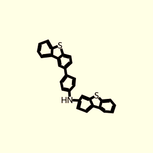 c1ccc2c(c1)sc1cc(Nc3ccc(-c4ccc5sc6ccccc6c5c4)cc3)ccc12